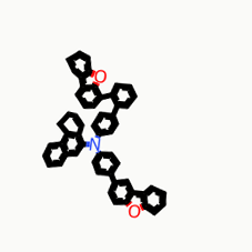 C1=Cc2c(N(c3ccc(-c4ccc5oc6ccccc6c5c4)cc3)c3ccc(-c4ccccc4-c4cccc5c4oc4ccccc45)cc3)cc3ccccc3c2CC1